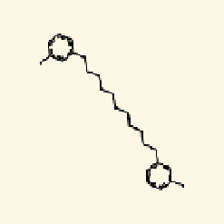 Cc1cccc(CCCCCCCCCCCc2cccc(C)c2)c1